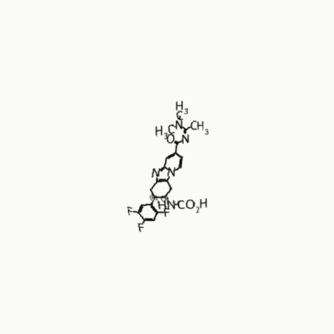 CC(=NC(=O)c1ccn2c3c(nc2c1)C[C@H](c1cc(F)c(F)cc1F)[C@@H](NC(=O)O)C3)N(C)C